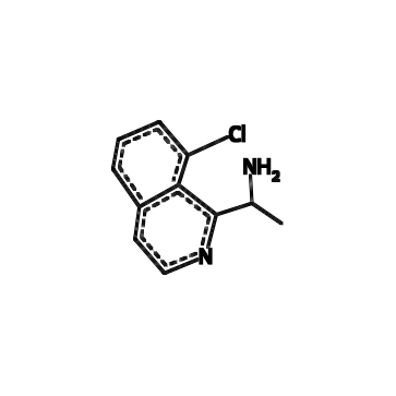 CC(N)c1nccc2cccc(Cl)c12